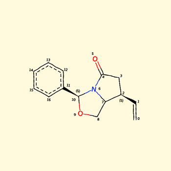 C=C[C@@H]1CC(=O)N2C1CO[C@H]2c1ccccc1